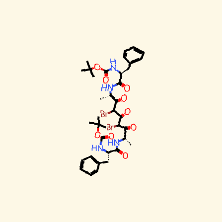 C[C@H](NC(=O)[C@H](Cc1ccccc1)NC(=O)OC(C)(C)C)C(=O)C(Br)C(=O)C(Br)C(=O)[C@H](C)NC(=O)[C@H](Cc1ccccc1)NC(=O)OC(C)(C)C